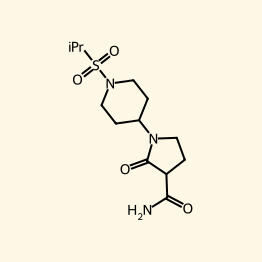 CC(C)S(=O)(=O)N1CCC(N2CCC(C(N)=O)C2=O)CC1